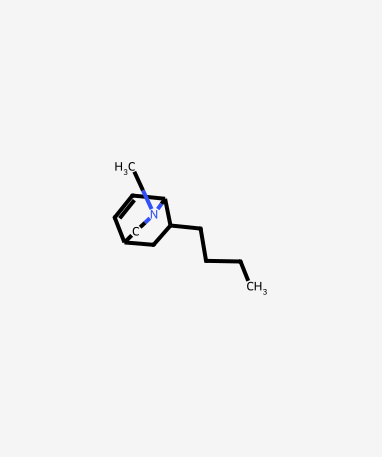 CCCCC1CC2C=CC1N(C)C2